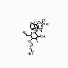 CO[C@H]1OC2CO[C@@H](C1OS(=O)(=O)O)[C@H]2O[C@@H]1OC(CO)[C@H](OSOOO)[C@H](C)C1O